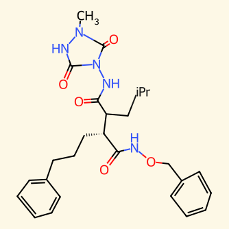 CC(C)CC(C(=O)Nn1c(=O)[nH]n(C)c1=O)[C@@H](CCCc1ccccc1)C(=O)NOCc1ccccc1